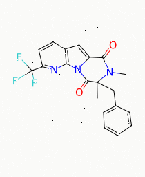 CN1C(=O)c2cc3ccc(C(F)(F)F)nc3n2C(=O)C1(C)Cc1ccccc1